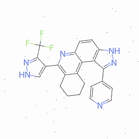 FC(F)(F)c1n[nH]cc1-c1nc2ccc3[nH]nc(-c4ccncc4)c3c2c2c1CCCC2